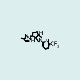 Cc1ccn([C@H]2CC[C@@H]3CN(c4cccc(C(F)(F)F)n4)C[C@@H]32)n1